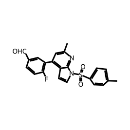 Cc1ccc(S(=O)(=O)n2ccc3c(-c4cc(C=O)ccc4F)cc(C)nc32)cc1